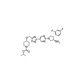 CC(C)OC(=O)N1CCC(O[C@H](C)c2nc(-c3cnc(N4C[C@H](c5ccc(F)cc5F)[C@@H](N)C4)nc3)no2)CC1